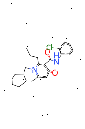 CCCc1c(C(=O)Nc2ccccc2Cl)c(=O)cc(C)n1CC1CCCCC1